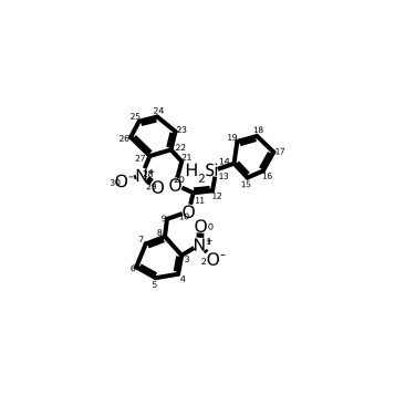 O=[N+]([O-])c1ccccc1COC(=C[SiH2]c1ccccc1)OCc1ccccc1[N+](=O)[O-]